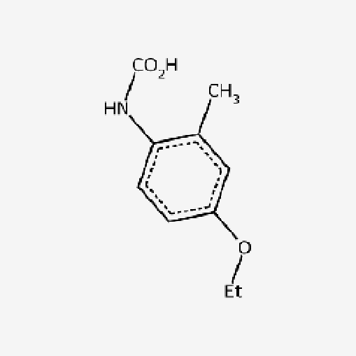 CCOc1ccc(NC(=O)O)c(C)c1